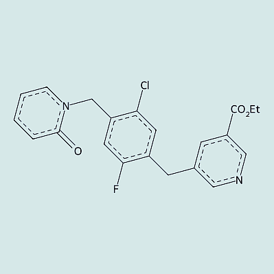 CCOC(=O)c1cncc(Cc2cc(Cl)c(Cn3ccccc3=O)cc2F)c1